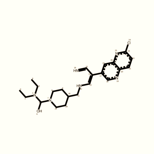 CCN(CC)C(O)N1CCC(CN/C=C(\C=N)c2cnc3ccc(Cl)nc3c2)CC1